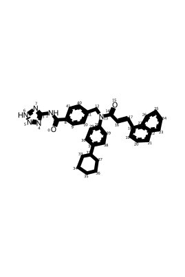 O=C(Nc1nn[nH]n1)c1ccc(CN(C(=O)/C=C/c2cccc3ccccc23)c2ccc(C3CCCCC3)cc2)cc1